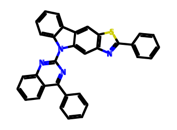 c1ccc(-c2nc3cc4c(cc3s2)c2ccccc2n4-c2nc(-c3ccccc3)c3ccccc3n2)cc1